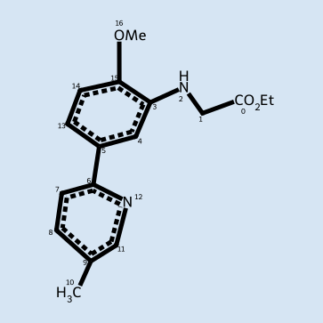 CCOC(=O)CNc1cc(-c2ccc(C)cn2)ccc1OC